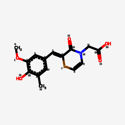 COc1cc(/C=C2\SC=CN(CC(=O)O)C2=O)cc(C)c1O